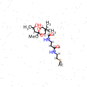 COC1(CC(C)O)OCC(C)(C)[C@H](C(=O)NCCC(=O)NCCSC(C)=O)O1